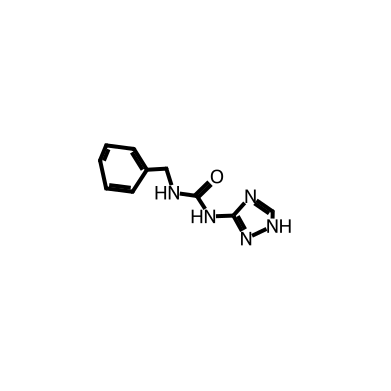 O=C(NCc1ccccc1)Nc1nc[nH]n1